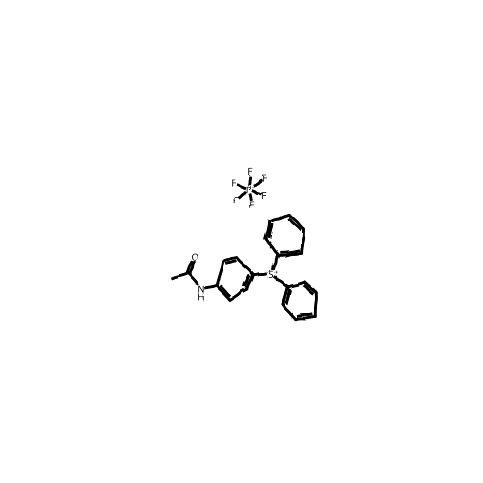 CC(=O)Nc1ccc([S+](c2ccccc2)c2ccccc2)cc1.F[P-](F)(F)(F)(F)F